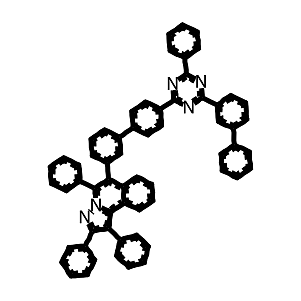 c1ccc(-c2cccc(-c3nc(-c4ccccc4)nc(-c4ccc(-c5cccc(-c6c(-c7ccccc7)n7nc(-c8ccccc8)c(-c8ccccc8)c7c7ccccc67)c5)cc4)n3)c2)cc1